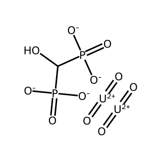 O=P([O-])([O-])C(O)P(=O)([O-])[O-].[O]=[U+2]=[O].[O]=[U+2]=[O]